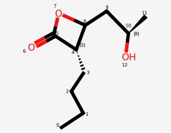 CCCC[C@@H]1C(=O)OC1C[C@@H](C)O